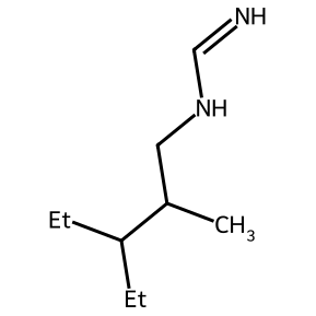 CCC(CC)C(C)CNC=N